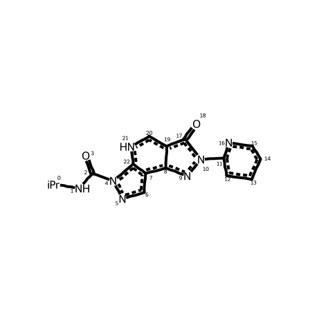 CC(C)NC(=O)n1ncc2c3nn(-c4ccccn4)c(=O)c-3c[nH]c21